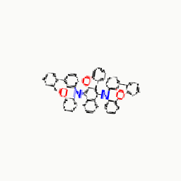 Cc1ccccc1-c1cccc2c1Oc1ccccc1N2c1c2ccccc2c(N(c2ccccc2C)c2cccc3c2oc2ccccc23)c2c1oc1ccccc12